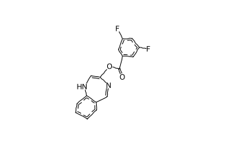 O=C(OC1=CNc2ccccc2C=N1)c1cc(F)cc(F)c1